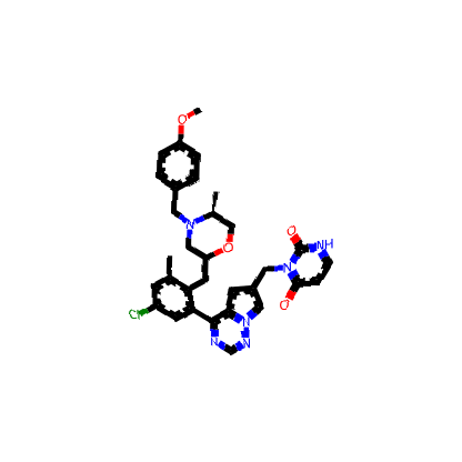 COc1ccc(CN2CC(Cc3c(C)cc(Cl)cc3-c3ncnn4cc(Cn5c(=O)cc[nH]c5=O)cc34)OC[C@@H]2C)cc1